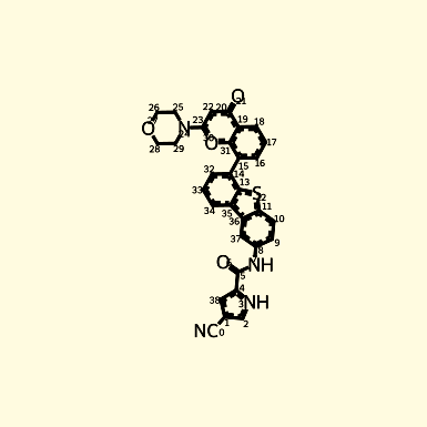 N#Cc1c[nH]c(C(=O)Nc2ccc3sc4c(-c5cccc6c(=O)cc(N7CCOCC7)oc56)cccc4c3c2)c1